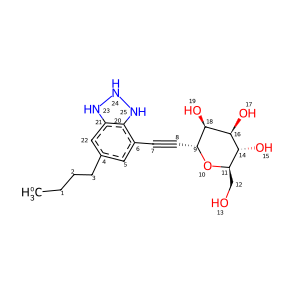 CCCCc1cc(C#C[C@H]2O[C@H](CO)[C@@H](O)[C@H](O)[C@@H]2O)c2c(c1)NNN2